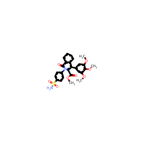 COC(=O)c1c(-c2cc(OC)c(OC)c(OC)c2)c2ccccc2c(=O)n1-c1ccc(S(N)(=O)=O)cc1